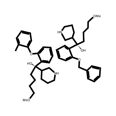 COCCCC[C@@](O)(c1ccccc1OCc1ccccc1)C1CCCNC1.COCCCC[C@@](O)(c1ccccc1Oc1ccccc1C)C1CCCNC1